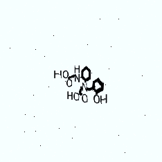 O=C(O)CN[C@@H]1CCCC[C@H]1N(CC(=O)O)Cc1ccccc1O